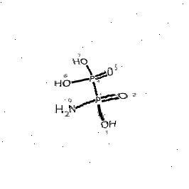 NP(=O)(O)P(=O)(O)O